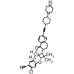 CC1(C)[C@H](Oc2ccc(C#N)c(Cl)c2)C(C)(C)[C@H]1C1CCc2nc(C#CC3CCC(N4CCNCC4)CC3)ccc2C1=O